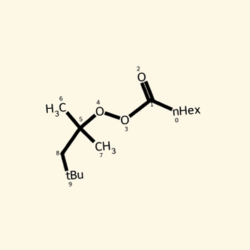 CCCCCCC(=O)OOC(C)(C)CC(C)(C)C